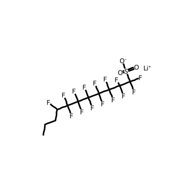 CCCC(F)C(F)(F)C(F)(F)C(F)(F)C(F)(F)C(F)(F)C(F)(F)C(F)(F)S(=O)(=O)[O-].[Li+]